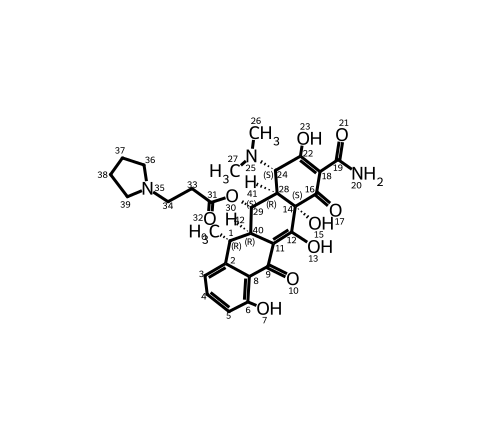 C[C@H]1c2cccc(O)c2C(=O)C2=C(O)[C@]3(O)C(=O)C(C(N)=O)=C(O)[C@@H](N(C)C)[C@@H]3[C@@H](OC(=O)CCN3CCCC3)[C@@H]21